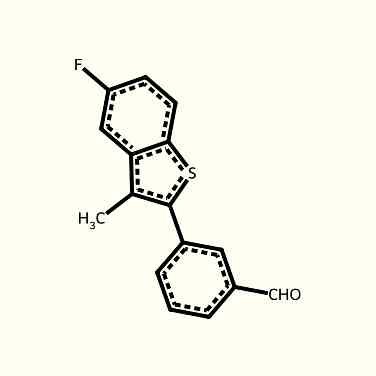 Cc1c(-c2cccc(C=O)c2)sc2ccc(F)cc12